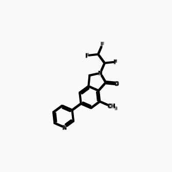 Cc1cc(-c2cccnc2)cc2c1C(=O)N(C(F)C(F)F)C2